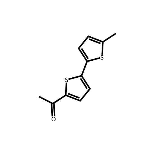 CC(=O)c1ccc(-c2ccc(C)s2)s1